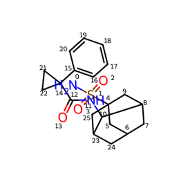 NS(=O)(=O)C12CC3CC(C1)C(NC(=O)C1(c4ccccc4)CC1)C(C3)C2